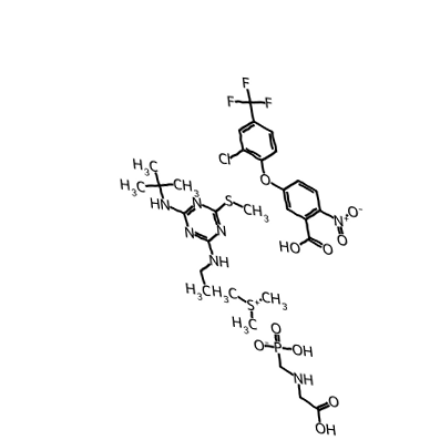 CCNc1nc(NC(C)(C)C)nc(SC)n1.C[S+](C)C.O=C(O)CNCP(=O)([O-])O.O=C(O)c1cc(Oc2ccc(C(F)(F)F)cc2Cl)ccc1[N+](=O)[O-]